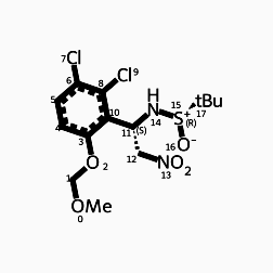 COCOc1ccc(Cl)c(Cl)c1[C@@H](C[N+](=O)[O-])N[S@@+]([O-])C(C)(C)C